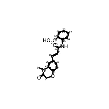 CN1C(=O)COc2ccc(C=CC(=O)Nc3ccccc3C(=O)O)cc21